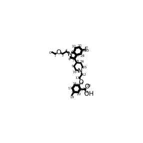 CCOCCn1cc(C2CCN(CCOc3ccc(C)cc3C(=O)O)CC2)c2cc(F)ccc21